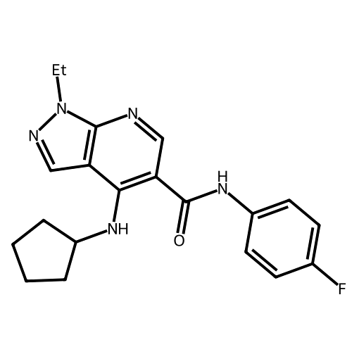 CCn1ncc2c(NC3CCCC3)c(C(=O)Nc3ccc(F)cc3)cnc21